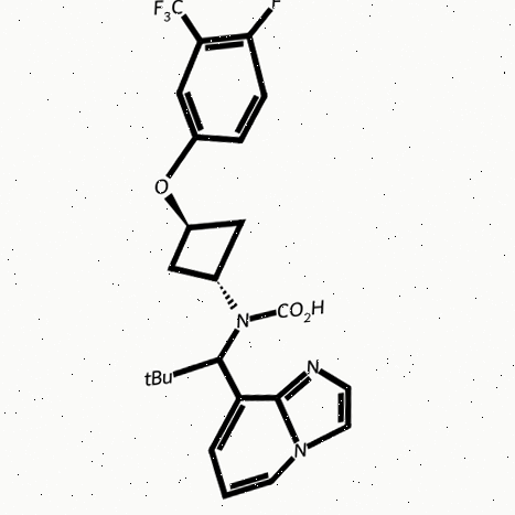 CC(C)(C)C(c1cccn2ccnc12)N(C(=O)O)[C@H]1C[C@H](Oc2ccc(F)c(C(F)(F)F)c2)C1